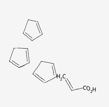 C1=CCC=C1.C1=CCC=C1.C1=CCC=C1.C=CC(=O)O